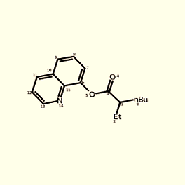 CCCCC(CC)C(=O)Oc1cccc2cccnc12